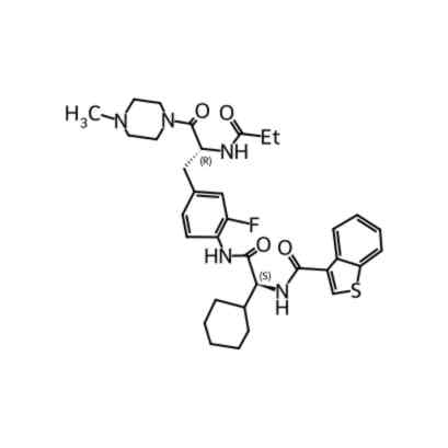 CCC(=O)N[C@H](Cc1ccc(NC(=O)[C@@H](NC(=O)c2csc3ccccc23)C2CCCCC2)c(F)c1)C(=O)N1CCN(C)CC1